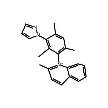 Cc1cc(C)c(-[n+]2c(C)ccc3ccccc32)c(C)c1-n1cccn1